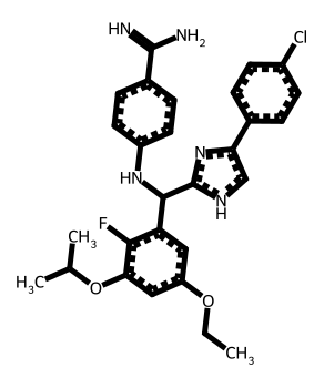 CCOc1cc(OC(C)C)c(F)c(C(Nc2ccc(C(=N)N)cc2)c2nc(-c3ccc(Cl)cc3)c[nH]2)c1